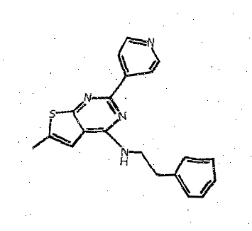 Cc1cc2c(NCCc3ccccc3)nc(-c3ccncc3)nc2s1